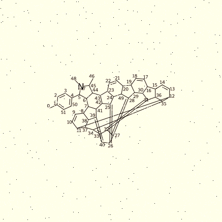 Cc1ccc(C2C3C4C5C=CC6C7C=CC8C9C=CC%10C%11C=CC%12C%13C%14=C%15C%16=C(C%10C9C9=C%16C%10=C(C7C98)C6C5C(=C%10%15)C4C%14C%12C3C(C)N2C)C%11%13)cc1